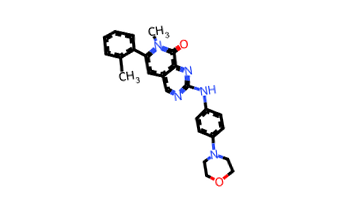 Cc1ccccc1-c1cc2cnc(Nc3ccc(N4CCOCC4)cc3)nc2c(=O)n1C